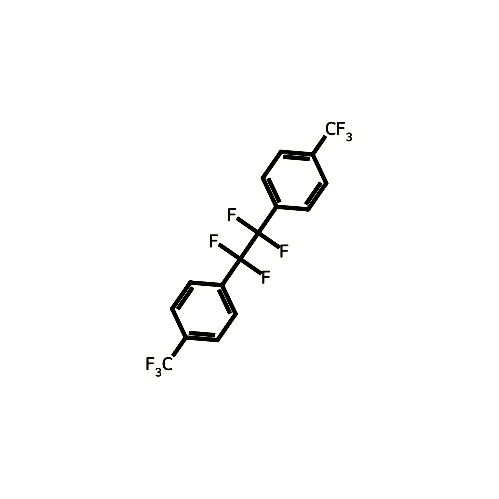 FC(F)(F)c1ccc(C(F)(F)C(F)(F)c2ccc(C(F)(F)F)cc2)cc1